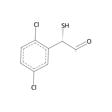 O=[C][C@@H](S)c1cc(Cl)ccc1Cl